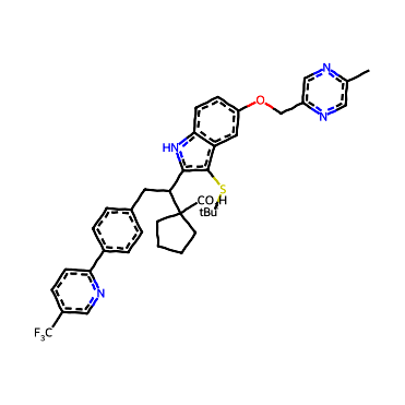 Cc1cnc(COc2ccc3[nH]c(C(Cc4ccc(-c5ccc(C(F)(F)F)cn5)cc4)C4(C(=O)O)CCCC4)c(SC(C)(C)C)c3c2)cn1